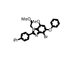 COCCn1c(-c2ccc(C(C)C)cc2)nc2c(Br)c(Oc3ccccc3)cc(OC)c21